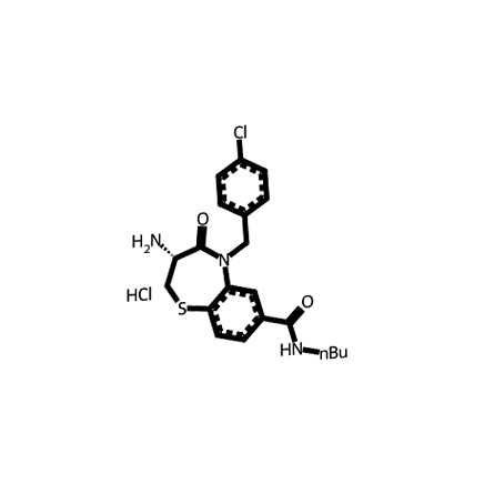 CCCCNC(=O)c1ccc2c(c1)N(Cc1ccc(Cl)cc1)C(=O)[C@@H](N)CS2.Cl